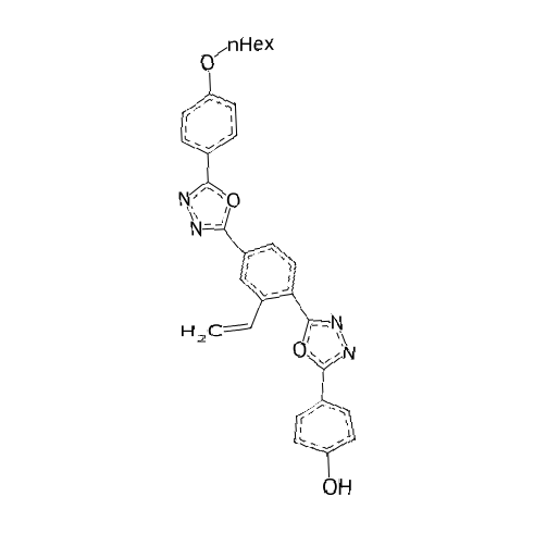 C=Cc1cc(-c2nnc(-c3ccc(OCCCCCC)cc3)o2)ccc1-c1nnc(-c2ccc(O)cc2)o1